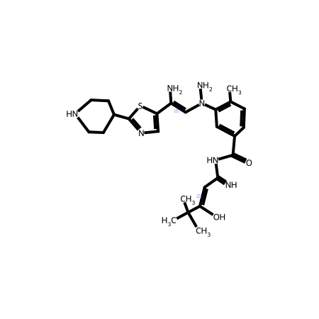 Cc1ccc(C(=O)NC(=N)/C=C(\O)C(C)(C)C)cc1N(N)/C=C(\N)c1cnc(C2CCNCC2)s1